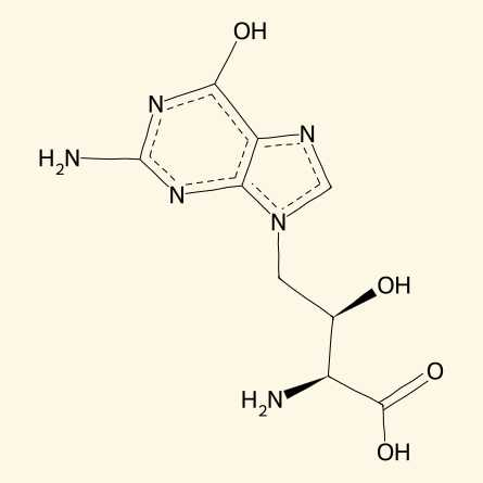 Nc1nc(O)c2ncn(C[C@@H](O)[C@H](N)C(=O)O)c2n1